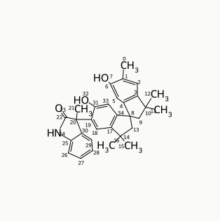 Cc1cc2c(cc1O)C1(CC2(C)C)CC(C)(C)c2cc(C3(C)C(=O)Nc4ccccc43)c(O)cc21